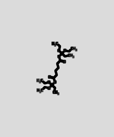 CCOC(CC)(OCC)OC(=O)CCCCC(=O)OC(CC)(OCC)OCC